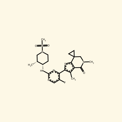 Cc1c(-c2nc(N[C@H]3CCN(S(C)(=O)=O)C[C@H]3C)ncc2F)sc2c1C(=O)N(C)CC21CC1